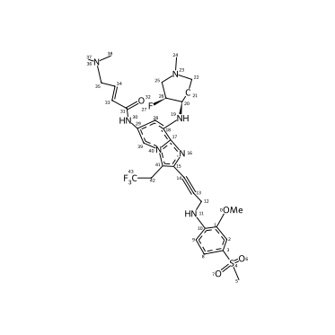 COc1cc(S(C)(=O)=O)ccc1NCC#Cc1nc2c(N[C@@H]3CCN(C)C[C@@H]3F)cc(NC(=O)/C=C/CN(C)C)cn2c1CC(F)(F)F